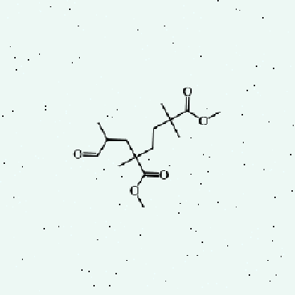 COC(=O)C(C)(C)CCC(C)(CC(C)C=O)C(=O)OC